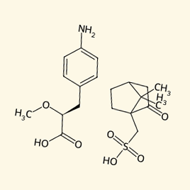 CC1(C)C2CCC1(CS(=O)(=O)O)C(=O)C2.CO[C@@H](Cc1ccc(N)cc1)C(=O)O